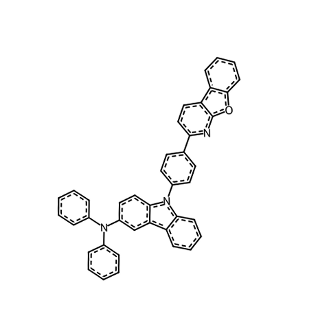 c1ccc(N(c2ccccc2)c2ccc3c(c2)c2ccccc2n3-c2ccc(-c3ccc4c(n3)oc3ccccc34)cc2)cc1